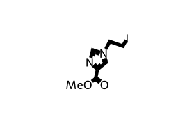 COC(=O)c1cn(CCI)cn1